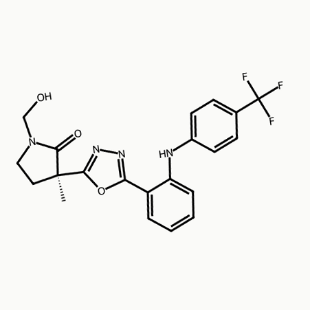 C[C@]1(c2nnc(-c3ccccc3Nc3ccc(C(F)(F)F)cc3)o2)CCN(CO)C1=O